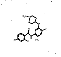 CN1CCC(Oc2cc(NC(=O)c3ccc(F)cc3Cl)ccc2Cl)CC1.Cl